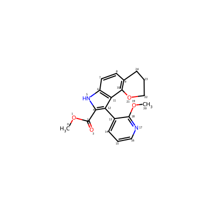 COC(=O)c1[nH]c2ccc3c(c2c1-c1cccnc1OC)OCCC3